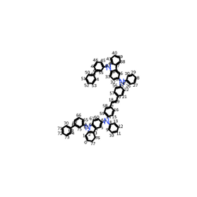 C1=Cc2c(c3cc(N(c4ccccc4)c4ccc(/C=C/c5ccc(N(c6ccccc6)c6ccc7c(c6)c6ccccc6n7-c6cccc(-c7ccccc7)c6)cc5)cc4)ccc3n2-c2cccc(-c3ccccc3)c2)CC1